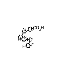 O=C(O)N1CCC(n2cc(-c3ccnc4ccc(N5CCCC5c5cc(F)ccc5F)nc34)cn2)CC1